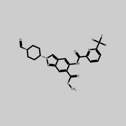 COC(=O)c1cc2nn([C@H]3CC[C@H](C=O)CC3)cc2cc1NC(=O)c1cccc(C(F)(F)F)n1